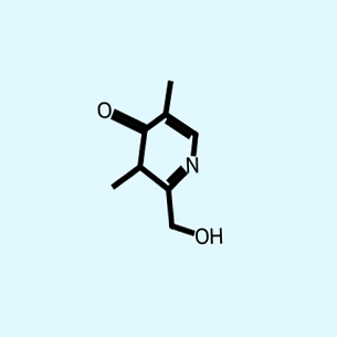 CC1=CN=C(CO)C(C)C1=O